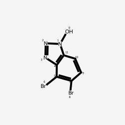 On1nnc2c(Br)c(Br)ccc21